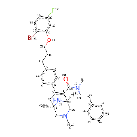 CC(=O)N1C[C@H]2CC(c3ccc(CCCOc4cc(F)ccc4Br)cc3)=C(C(=O)N(C)CCc3ccccc3)[C@@H](C1)N2